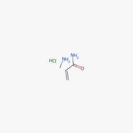 C=CC(N)=O.CN.Cl